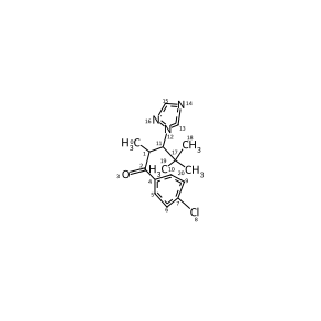 CC(C(=O)c1ccc(Cl)cc1)C(n1cncn1)C(C)(C)C